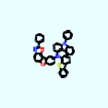 c1ccc(-c2nc3ccc4oc5ccc(N(c6cccc7c6sc6ccccc67)c6cccc7c6c6ccccc6n7-c6ccccc6)cc5c4c3o2)cc1